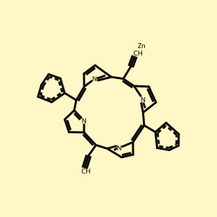 C#CC1=C2C=CC(=N2)C(c2ccccc2)=C2C=CC(=N2)C(C#C)=C2C=CC(=N2)C(c2ccccc2)=C2C=CC1=N2.[Zn]